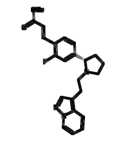 COC(=O)/C=C/c1ccc([C@@H]2CCCN2CCc2cnn3ccccc23)cc1F